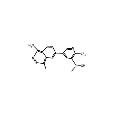 CB(O)c1cc(-c2ccc3c(N)nnc(C)c3c2)cnc1C(F)(F)F